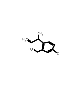 C=CC(C)c1ccc(Cl)cc1CC